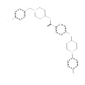 N#Cc1ccc(CN2CCC(NC(=O)c3ccc(OC4CCN(c5ccc(C(F)(F)F)cc5)CC4)cn3)CC2)cc1